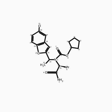 CC(C)[C@@H](C(N)=O)N(C(=O)OC1CCCC1)C(C)c1cc2cc(Cl)ccc2o1